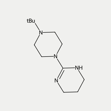 CC(C)(C)N1CCN(C2=NCCCN2)CC1